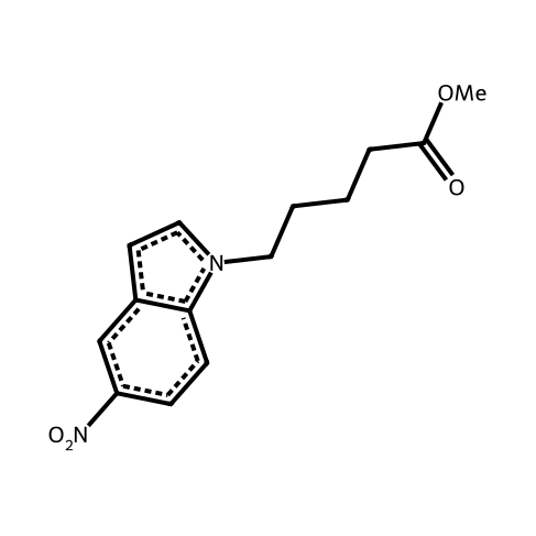 COC(=O)CCCCn1ccc2cc([N+](=O)[O-])ccc21